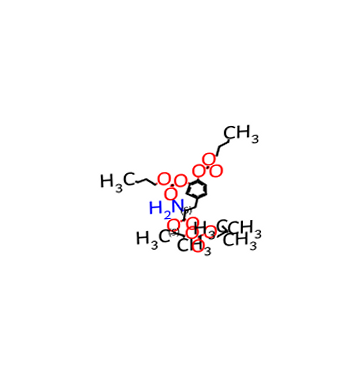 CCCCOC(=O)Oc1ccc(C[C@H](N)C(=O)O[C@@H](C)C(C)OC(=O)OCC(C)(C)C)cc1OC(=O)OCCCC